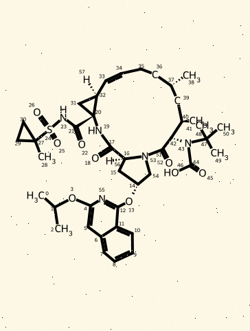 CC(C)Oc1cc2ccccc2c(O[C@@H]2C[C@H]3C(=O)N[C@]4(C(=O)NS(=O)(=O)C5(C)CC5)C[C@H]4/C=C\CC[C@H](C)C[C@@H](C)[C@H](N(C(=O)O)C(C)(C)C)C(=O)N3C2)n1